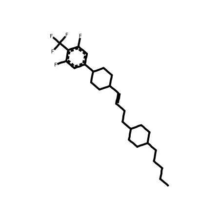 CCCCCC1CCC(CC/C=C/C2CCC(c3cc(F)c(C(F)(F)F)c(F)c3)CC2)CC1